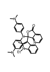 CCn1c(C)c(C2(N(c3ccc(N(C)C)cc3)c3ccc(N(C)C)cc3)OC(=O)c3cccnc32)c2ccccc21